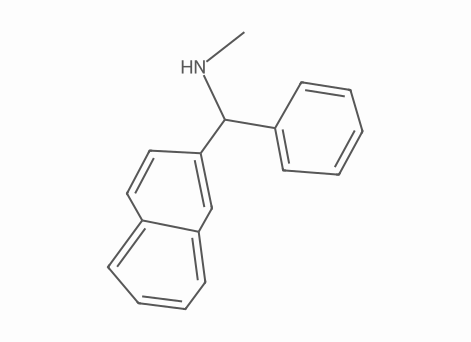 CNC(c1ccccc1)c1ccc2ccccc2c1